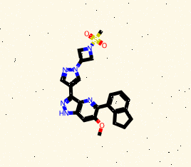 COc1cc2[nH]nc(-c3cnn(C4CN(S(C)(=O)=O)C4)c3)c2nc1-c1cccc2c1CCC2